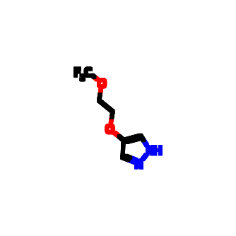 FC(F)(F)OCCOc1cn[nH]c1